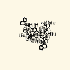 CN[C@@H](C)C(=O)NC(=O)N[C@H](C(=O)N1C[C@@H](NC(=O)c2ccc3c(c2)CN(C(=O)[C@@H](NC(=O)[C@H](C)NC)C(C)(C)C)[C@H](C(=O)N[C@@H]2CCCc4ccccc42)C3)CC1C(=O)N[C@@H]1CCCc2ccccc21)C(C)(C)C